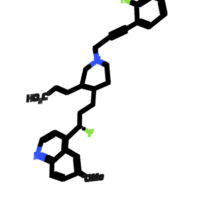 COc1ccc2nccc([C@@H](F)CCC3CCN(CC#Cc4ccccc4F)CC3CCC(=O)O)c2c1